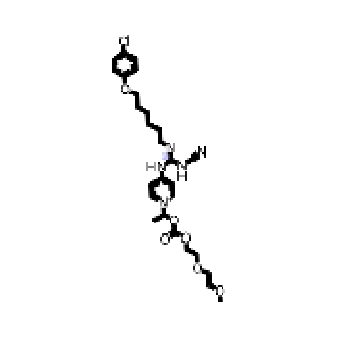 COCCOCCOC(=O)OC(C)[n+]1ccc(N/C(=N\CCCCCCOc2ccc(Cl)cc2)NC#N)cc1